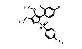 COc1c(CO)cn(S(=O)(=O)c2ccc(C)nc2)c1-c1ccc(F)cc1F